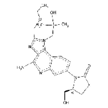 CCOCc1nc2c(N)nc3cc(N4C(=O)CC[C@H]4CO)ccc3c2n1CC(C)(C)O